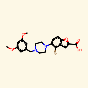 COc1cc(CN2CCN(c3ccc4oc(C(=O)O)cc4c3Br)CC2)cc(OC)c1